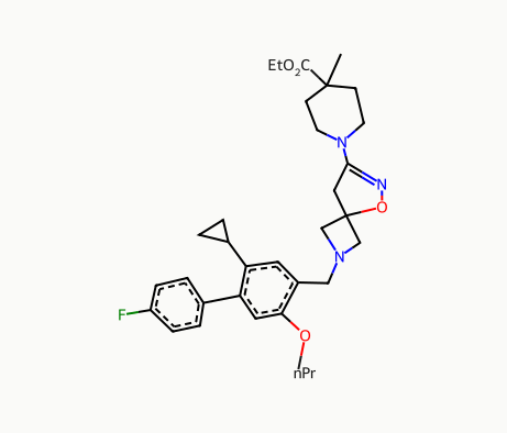 CCCOc1cc(-c2ccc(F)cc2)c(C2CC2)cc1CN1CC2(CC(N3CCC(C)(C(=O)OCC)CC3)=NO2)C1